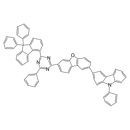 c1ccc(-c2nc(-c3ccc4c(c3)oc3ccc(-c5ccc6c(c5)c5ccccc5n6-c5ccccc5)cc34)nc(-c3cccc4c3-c3ccccc3C4(c3ccccc3)c3ccccc3)n2)cc1